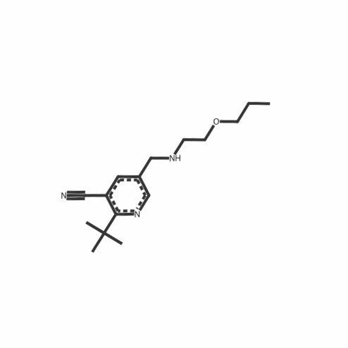 CCCOCCNCc1cnc(C(C)(C)C)c(C#N)c1